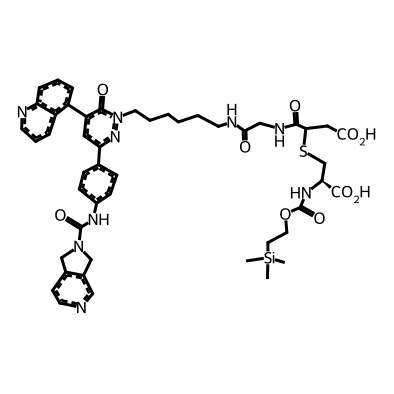 C[Si](C)(C)CCOC(=O)N[C@@H](CSC(CC(=O)O)C(=O)NCC(=O)NCCCCCCn1nc(-c2ccc(NC(=O)N3Cc4ccncc4C3)cc2)cc(-c2cccc3ncccc23)c1=O)C(=O)O